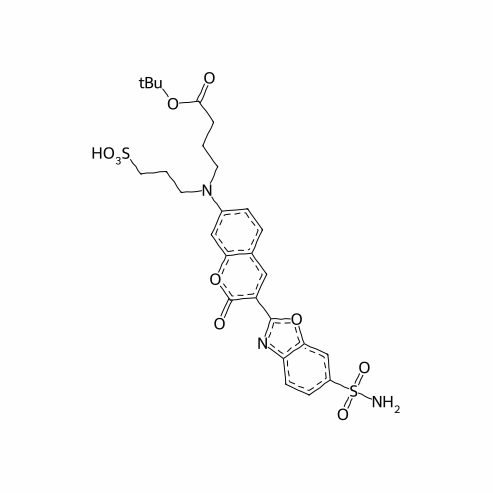 CC(C)(C)OC(=O)CCCN(CCCS(=O)(=O)O)c1ccc2cc(-c3nc4ccc(S(N)(=O)=O)cc4o3)c(=O)oc2c1